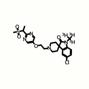 [2H]C([2H])([2H])N1C(=O)C2(CCN(CCOc3cnc(C(C)S(C)(=O)=O)nc3)CC2)c2cc(Cl)ccc21